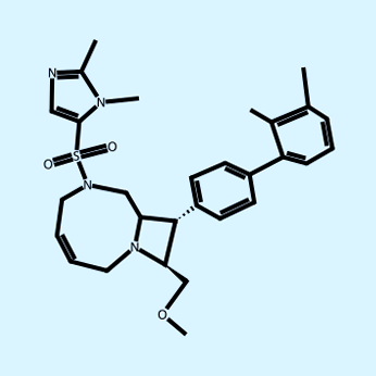 COC[C@@H]1[C@@H](c2ccc(-c3cccc(C)c3C)cc2)C2CN(S(=O)(=O)c3cnc(C)n3C)C/C=C\CN21